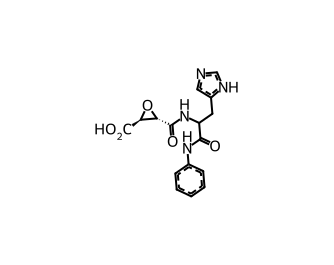 O=C(Nc1ccccc1)C(Cc1cnc[nH]1)NC(=O)[C@H]1O[C@@H]1C(=O)O